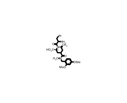 C=CCC(C[C@H](NC(=O)C(N)CC(C)C)C(=O)O)C(=O)N(C)Cc1ccc(OC)cc1OC